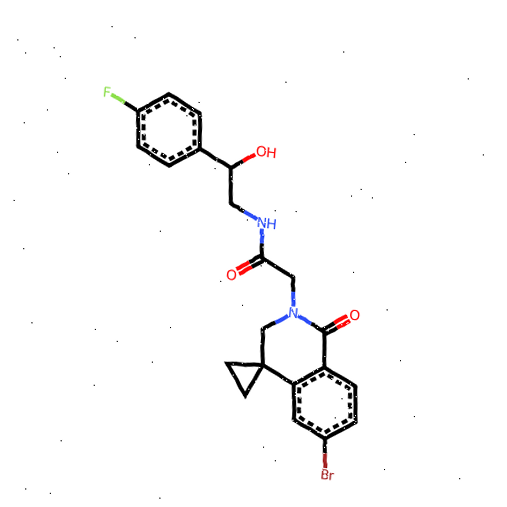 O=C(CN1CC2(CC2)c2cc(Br)ccc2C1=O)NCC(O)c1ccc(F)cc1